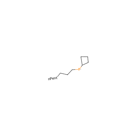 CCCCCCCC[P]C1CCC1